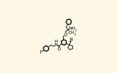 CC(N)(COCc1cc(C(=O)NCCc2ccc(F)cc2)cc(C2(C#N)CCCC2)c1)Cc1ccccc1